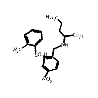 Cc1ccccc1S(=O)(=O)O.O=C(O)CCC(NCc1ccc([N+](=O)[O-])cc1)C(=O)O